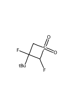 CC(C)(C)C1(F)CS(=O)(=O)C1F